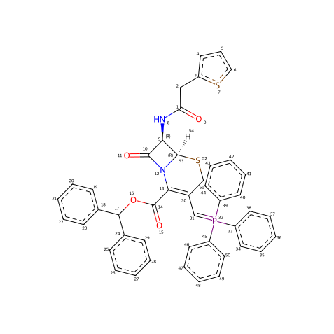 O=C(Cc1cccs1)N[C@@H]1C(=O)N2C(C(=O)OC(c3ccccc3)c3ccccc3)=C(C=P(c3ccccc3)(c3ccccc3)c3ccccc3)CS[C@H]12